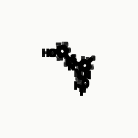 Cc1cc(-c2ncc(-c3cccc(O)c3)s2)c2ncc(OC(F)F)nc2c1